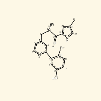 CC(C)N(Cc1ccnc(-c2cc(Cl)ccc2F)c1)C(=O)c1cn(C)cn1